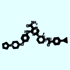 C[C@@H]1[C@H](NC(=O)c2ccc(C3CC3)cc2)CCCN1c1cnc(C(N)=O)c(Nc2ccc(OC3CCN(C4CCCC4)CC3)cc2)n1